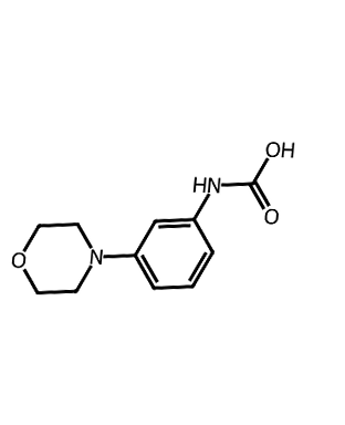 O=C(O)Nc1cccc(N2CCOCC2)c1